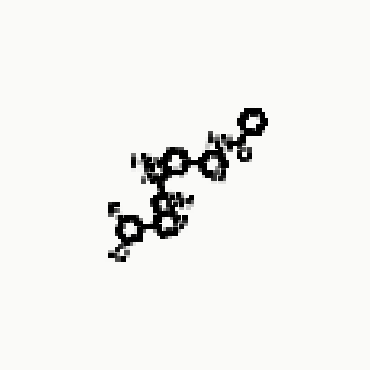 COc1cc(F)cc(-c2ccnc3[nH]c(-c4n[nH]c5ccc(-c6cncc(NC(=O)c7ccccc7)c6)cc45)cc23)c1